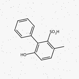 Cc1ccc(O)c(-c2ccccc2)c1S(=O)(=O)O